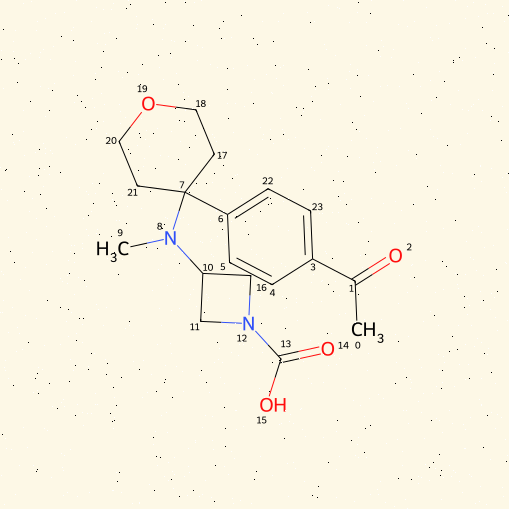 CC(=O)c1ccc(C2(N(C)C3CN(C(=O)O)C3)CCOCC2)cc1